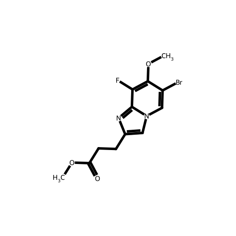 COC(=O)CCc1cn2cc(Br)c(OC)c(F)c2n1